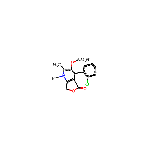 CCOC(=O)OC1=C(C)N(CC)C2=C(C(=O)OC2)C1c1ccccc1Cl